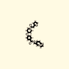 O=C(NCc1ccc2nccn2c1)c1ccc(OC2CCN(C(=O)CC3CCCO3)CC2)cc1